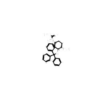 O=C(O)N[C@@H]1CC[C@H](O)[C@@H](SC(c2ccccc2)(c2ccccc2)c2ccccc2)C1